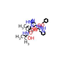 CC[C@H](C)[C@@H](CO)NC(=O)C[C@H](O)[C@H](CC(C)C)NC(=O)[C@H](Cc1c[nH]cn1)NC(=O)[C@H](Cc1ccccn1)NC(=O)OCc1ccccc1